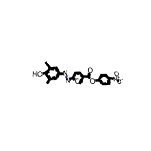 Cc1cc(/N=N/c2ccc(C(=O)Oc3ccc([N+](=O)[O-])cc3)cc2)cc(C)c1O